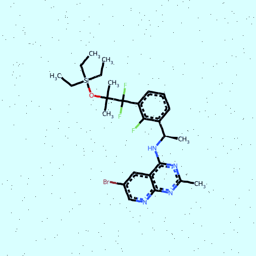 CC[Si](CC)(CC)OC(C)(C)C(F)(F)c1cccc([C@@H](C)Nc2nc(C)nc3ncc(Br)cc23)c1F